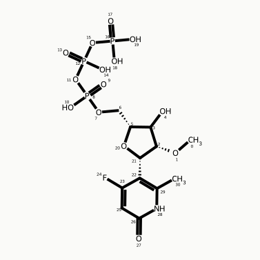 CO[C@H]1C(O)[C@@H](COP(=O)(O)OP(=O)(O)OP(=O)(O)O)O[C@H]1c1c(F)cc(=O)[nH]c1C